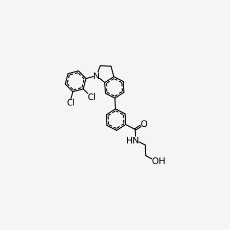 O=C(NCCO)c1cccc(-c2ccc3c(c2)N(c2cccc(Cl)c2Cl)CC3)c1